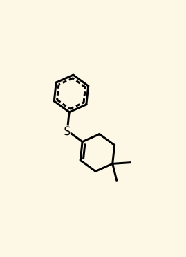 CC1(C)CC=C(Sc2ccccc2)CC1